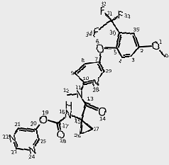 COc1ccc(Oc2ccc(N(C)C(=O)C3(NC(=O)Oc4cncnc4)CC3)nc2)c(C(F)(F)F)c1